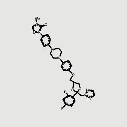 CCC(C)n1cnn(-c2ccc(N3CCN(c4ccc(OCC5COC(Cn6nccn6)(c6ccc(F)cc6F)O5)cc4)CC3)cc2)c1=O